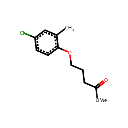 COC(=O)CCCOc1ccc(Cl)cc1C